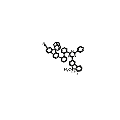 CC1(C)c2ccccc2-c2cc(-c3nc(-c4ccccc4)nc(-c4ccccc4-c4ccccc4-c4ccc5c(c4)C4(c6cc(C#N)ccc6-5)C5CC6CC(C5)CC4C6)n3)ccc21